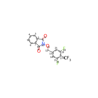 O=C1c2ccccc2C(=O)N1OCc1cc(F)c(C(F)(F)F)c(F)c1